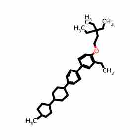 CCc1cc(-c2ccc(C3CCC(C4CCC(C)CC4)CC3)cc2)ccc1OCCC(CC)(CC)CC